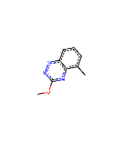 COc1nnc2cccc(C)c2n1